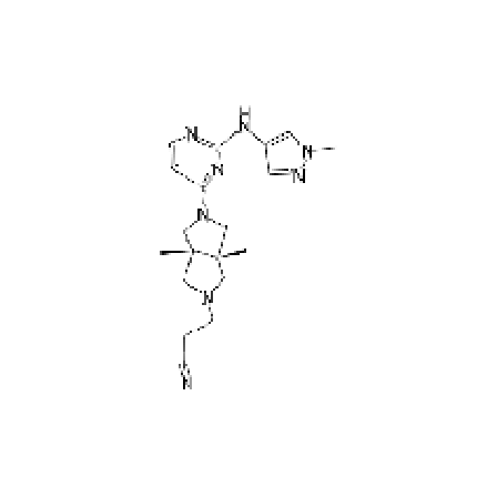 Cn1cc(Nc2nccc(N3C[C@]4(C)CN(CCC#N)C[C@]4(C)C3)n2)cn1